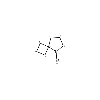 CC(C)(C)N1CCCC12CCC2